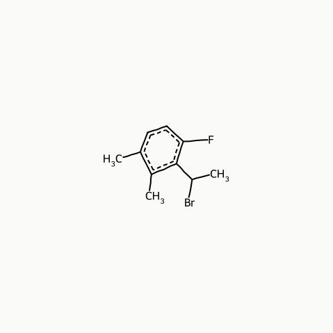 Cc1ccc(F)c(C(C)Br)c1C